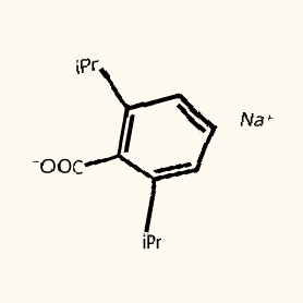 CC(C)c1cccc(C(C)C)c1C(=O)[O-].[Na+]